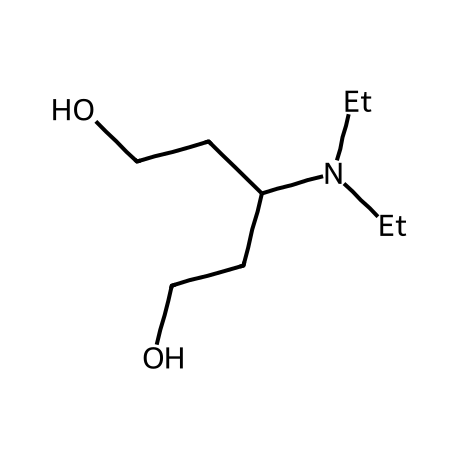 CCN(CC)C(CCO)CCO